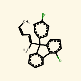 C/C=C\C=C(/C)C1(c2ccc(Br)cc2)c2ccccc2-c2c(Br)cccc21